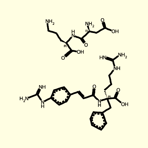 N=C(N)NCCC[C@](Cc1ccccc1)(NC(=O)C=Cc1ccc(NC(=N)N)cc1)C(=O)O.NCCC[C@@H](NC(=O)[C@@H](N)CC(=O)O)C(=O)O